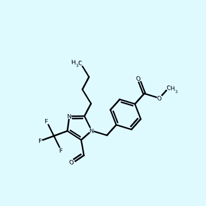 CCCCc1nc(C(F)(F)F)c(C=O)n1Cc1ccc(C(=O)OC)cc1